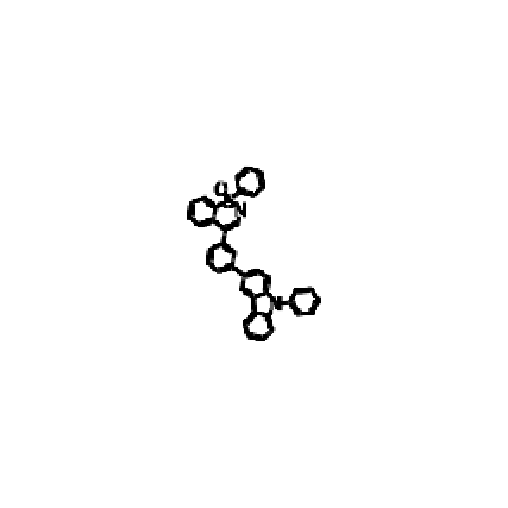 O=S1(c2ccccc2)=NC=C(c2cccc(-c3ccc4c(c3)c3ccccc3n4-c3ccccc3)c2)c2ccccc21